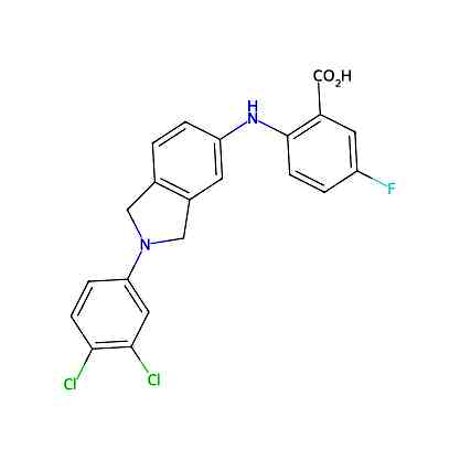 O=C(O)c1cc(F)ccc1Nc1ccc2c(c1)CN(c1ccc(Cl)c(Cl)c1)C2